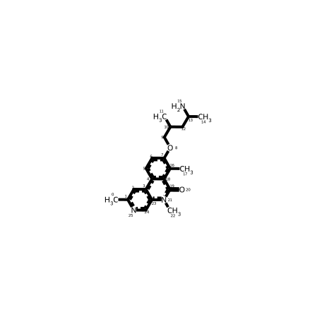 Cc1cc2c3ccc(OCC(C)CC(C)N)c(C)c3c(=O)n(C)c2cn1